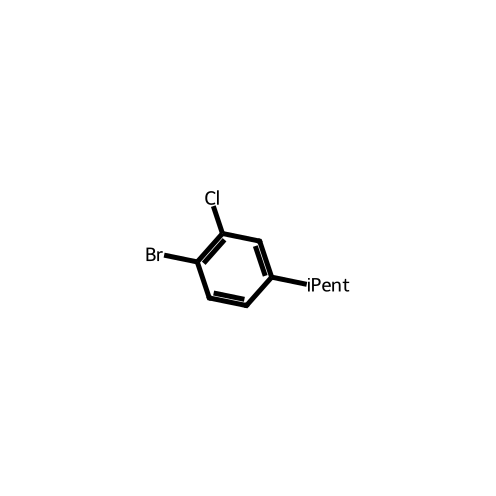 CCCC(C)c1ccc(Br)c(Cl)c1